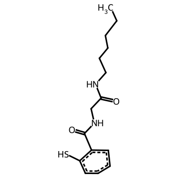 CCCCCCNC(=O)CNC(=O)c1ccccc1S